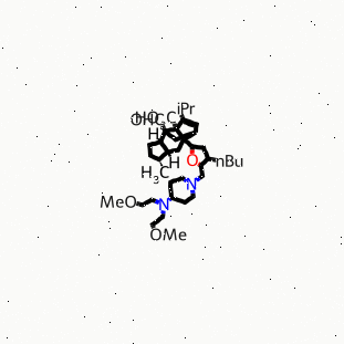 CCCCC1CC(C23C[C@@H]4[C@H](C)CC[C@H]4C4(C=O)CC2C=C(C(C)C)C34C(=O)O)OC1CN1CCC(N(CCOC)CCOC)CC1